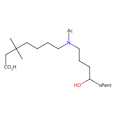 CCCCCC(O)CCCN(CCCCC(C)(C)CC(=O)O)C(C)=O